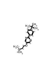 CN(C)CCOc1cnc(-c2ccc(C(C)(C)C)cc2)nc1